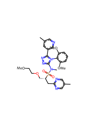 COCCOC[C@@H](Cc1ncc(C)cn1)S(=O)(=O)N(C)c1nnc(-c2cncc(C)c2)n1-c1c(OC)cccc1OC